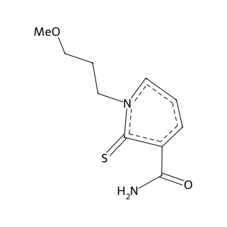 COCCCn1cccc(C(N)=O)c1=S